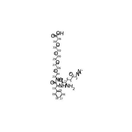 [N-]=[N+]=CC(=O)CCC(N)C(=O)NC(Cc1ccccc1)C(=O)NCCOCCOCCOCCOCCC(=O)O